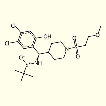 COCCS(=O)(=O)N1CCC([C@@H](N[S+]([O-])C(C)(C)C)c2cc(Cl)c(Cl)cc2O)CC1